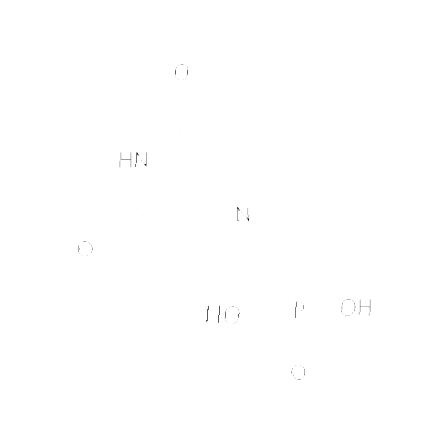 O=C1CN(CP(=O)(O)O)CC(=O)N1